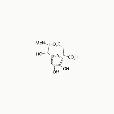 CNCC(O)c1ccc(O)c(O)c1.O=C(O)CCC(=O)O